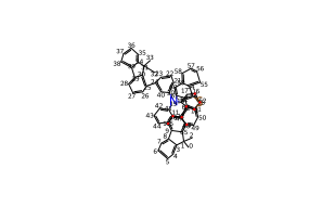 CC1(C)c2ccccc2-c2ccc(-c3ccccc3N(c3cccc(-c4cccc5c4C(C)(C)c4ccccc4-5)c3)c3ccccc3-c3cccc4sc5c6ccccc6ccc5c34)cc21